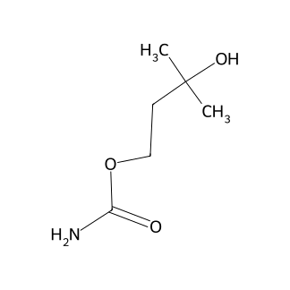 CC(C)(O)CCOC(N)=O